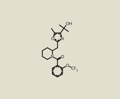 Cc1oc(CC2CCCCN2C(=O)c2ccccc2OC(F)(F)F)nc1C(C)(C)O